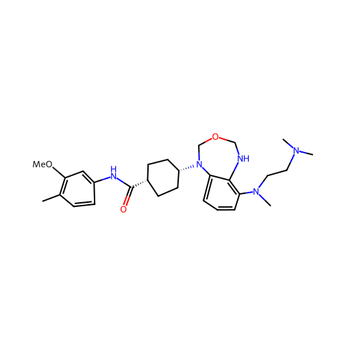 COc1cc(NC(=O)[C@H]2CC[C@@H](N3COCNc4c(N(C)CCN(C)C)cccc43)CC2)ccc1C